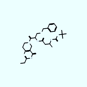 CCc1nc2c(c(=O)[nH]1)CN(C(=O)C(COCc1ccccc1)NC(=O)CC(C)NC(=O)OC(C)(C)C)CC2